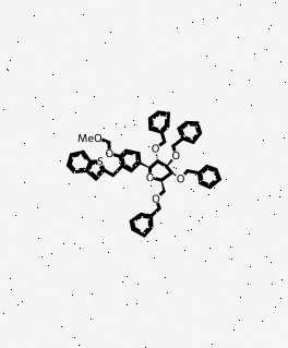 COCOc1ccc([C@@H]2O[C@H](COCc3ccccc3)[C@@H](OCc3ccccc3)[C@H](OCc3ccccc3)[C@H]2OCc2ccccc2)cc1Cc1cc2ccccc2s1